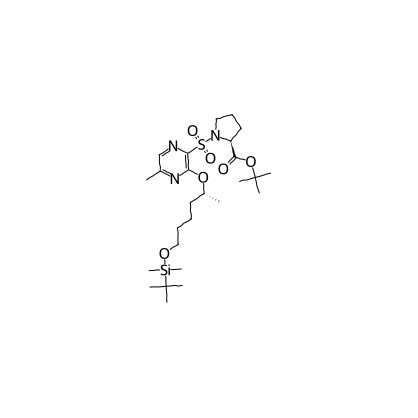 Cc1cnc(S(=O)(=O)N2CCC[C@H]2C(=O)OC(C)(C)C)c(O[C@H](C)CCCCO[Si](C)(C)C(C)(C)C)n1